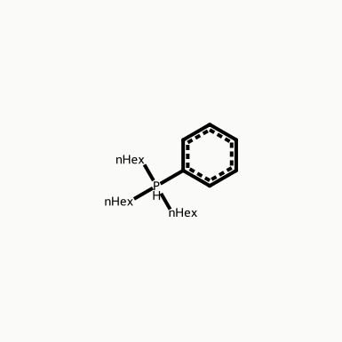 CCCCCC[PH](CCCCCC)(CCCCCC)c1ccccc1